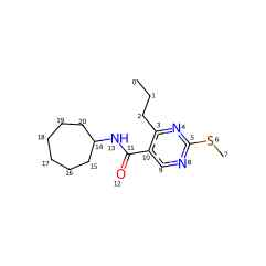 CCCc1nc(SC)ncc1C(=O)NC1CCCCCC1